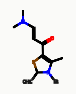 CCN1C(C)=C(C(=O)C=CN(C)C)SC1C=O